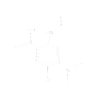 CC(=O)Nc1cc([N+](=O)[O-])c(Cl)cc1C(=O)O